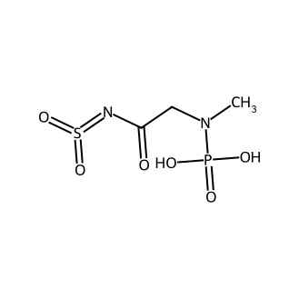 CN(CC(=O)N=S(=O)=O)P(=O)(O)O